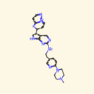 CN1CCN(c2ccc(CNc3ncc4c(-c5ccn6nccc6n5)c[nH]c4n3)cn2)CC1